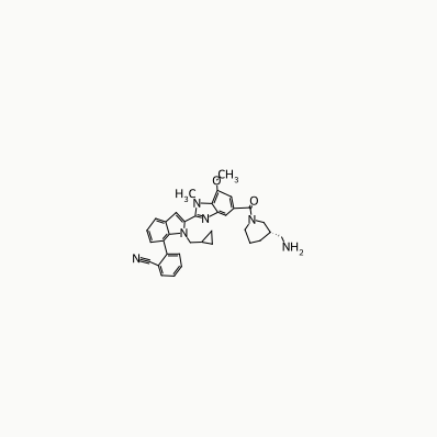 COc1cc(C(=O)N2CCC[C@@H](CN)C2)cc2nc(-c3cc4cccc(-c5ccccc5C#N)c4n3CC3CC3)n(C)c12